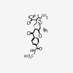 CC(CN)C(CC[C@@H](C(=O)c1ccc(C(=O)NCC(=O)O)cc1)C(=O)[C@H](N)C(C)C)C(=O)C(F)(F)F